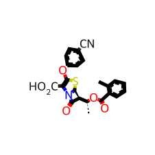 Cc1ccccc1C(=O)O[C@H](C)[C@H]1C(=O)N2C(C(=O)O)=C(Oc3ccc(C#N)cc3)SC12